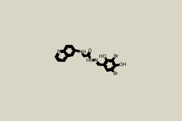 O=C(CNc1ccc2ncccc2c1)N/N=C/c1cc(Br)c(O)c(Br)c1O